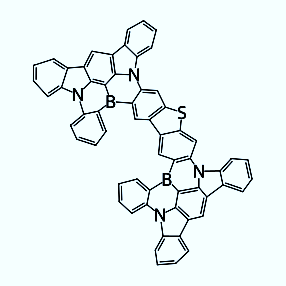 c1ccc2c(c1)B1c3cc4c(cc3-n3c5ccccc5c5cc6c7ccccc7n-2c6c1c53)sc1cc2c(cc14)B1c3ccccc3-n3c4ccccc4c4cc5c6ccccc6n-2c5c1c43